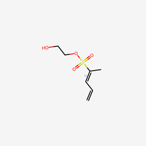 C=C/C=C(\C)S(=O)(=O)OCCO